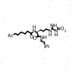 CC(=O)CCCCCC(=O)N[C@@H](CCCNC(=N)N[N+](=O)[O-])C(=O)N[CH]CC(C)C